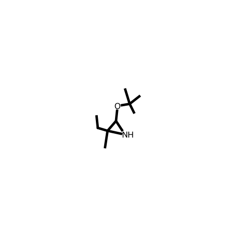 CCC1(C)NC1OC(C)(C)C